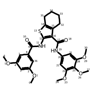 COc1cc(OC)cc(C(=O)Nc2sc3c(c2C(=O)Nc2cc(OC)c(OC)c(OC)c2)CCCC3)c1